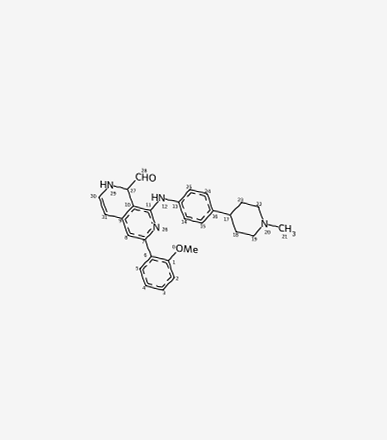 COc1ccccc1-c1cc2c(c(Nc3ccc(C4CCN(C)CC4)cc3)n1)C(C=O)NC=C2